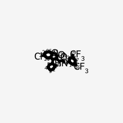 Cc1ccccc1-c1c(CC(=O)Nc2cc(C(F)(F)F)cc(C(F)(F)F)c2)c(=O)oc2ccc(Cl)cc12